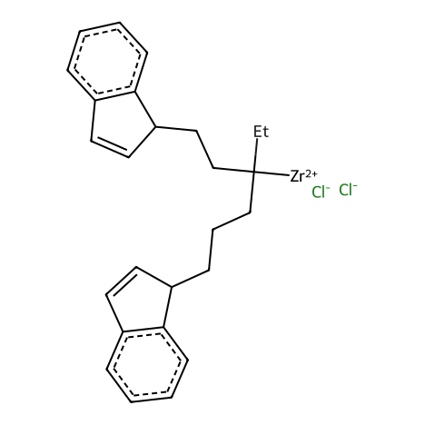 CC[C]([Zr+2])(CCCC1C=Cc2ccccc21)CCC1C=Cc2ccccc21.[Cl-].[Cl-]